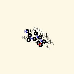 CC(C)(C)c1ccc(N2c3cc(N4c5ccc(-c6cccnc6)cc5C5(C)CCCCC45C)ccc3B3c4ccccc4N(c4ccc(C(C)(C)C)cc4-c4ccccc4)c4cc(C(C)(C)C)cc2c43)cc1